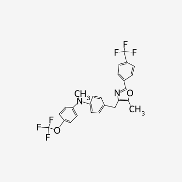 Cc1oc(-c2ccc(C(F)(F)F)cc2)nc1Cc1ccc(N(C)c2ccc(OC(F)(F)F)cc2)cc1